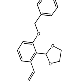 C=Cc1cccc(OCc2ccccc2)c1C1OCCO1